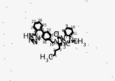 CCCCc1nn(-c2ccccc2N(C)C)c(=O)n1Cc1ccc(-c2ccccc2-c2nnn[nH]2)cc1